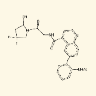 CC(=O)Nc1ccccc1-c1ccc2nccc(C(=O)NCC(=O)N3CC(F)(F)CC3C#N)c2c1